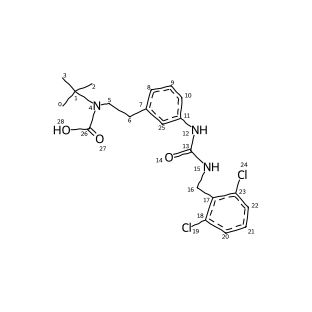 CC(C)(C)N(CCc1cccc(NC(=O)NCc2c(Cl)cccc2Cl)c1)C(=O)O